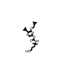 CC(C)(CCCO)NC(=O)Oc1cnc(C2CC2)c(OCC2CC2)n1